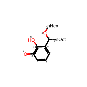 CCCCCCCCC(OCCCCCC)c1cccc(O)c1O